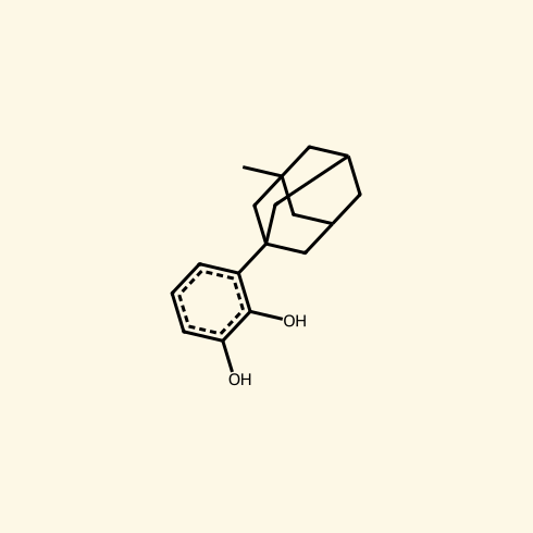 CC12CC3CC(C1)CC(c1cccc(O)c1O)(C3)C2